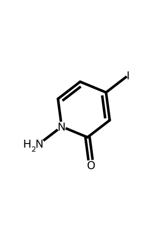 Nn1ccc(I)cc1=O